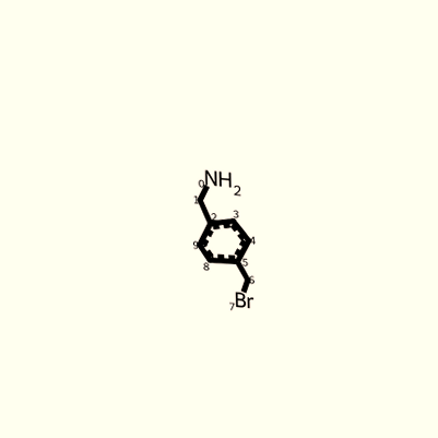 NCc1ccc(CBr)cc1